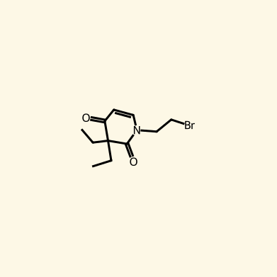 CCC1(CC)C(=O)C=CN(CCBr)C1=O